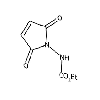 CCOC(=O)NN1C(=O)C=CC1=O